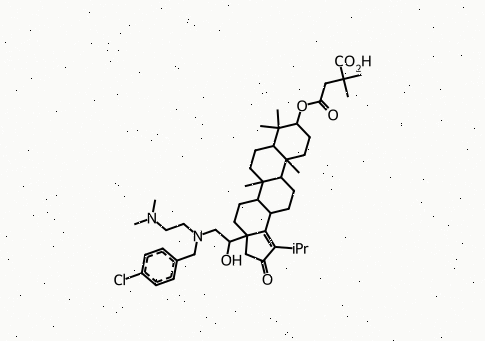 CC(C)C1=C2C3CCC4C(C)(CCC5C(C)(C)C(OC(=O)CC(C)(C)C(=O)O)CCC54C)C3CCC2(C(O)CN(CCN(C)C)Cc2ccc(Cl)cc2)CC1=O